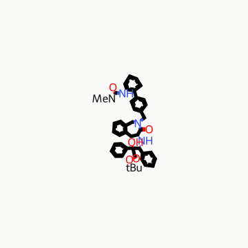 CNC(=O)Nc1ccccc1-c1ccc(CN2Cc3ccccc3C[C@@H](N[C@H](c3ccccc3)[C@](O)(C(=O)OC(C)(C)C)c3ccccc3)C2=O)cc1